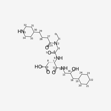 CCN(CC(=O)N[C@@H](CC(=O)O)C(=O)NCC(O)CC1CCCCC1)C(=O)CCCC1CCNCC1